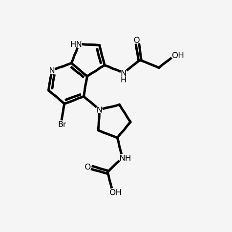 O=C(O)NC1CCN(c2c(Br)cnc3[nH]cc(NC(=O)CO)c23)C1